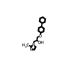 Cc1nccn1CC(O)COc1ccc(-c2ccccc2)cc1